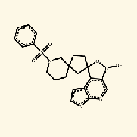 O=S(=O)(c1ccccc1)N1CCCC2(CCC3(C2)OB(O)c2cnc4[nH]ccc4c23)C1